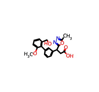 COc1cccc(CO)c1-c1cccc(C(CC(=O)O)c2nnc(C)o2)c1